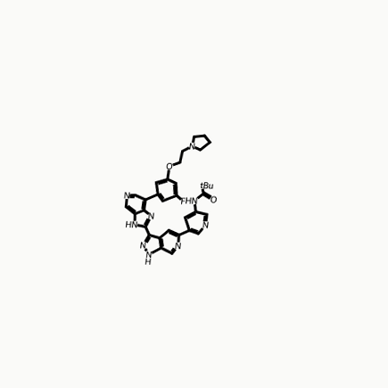 CC(C)(C)C(=O)Nc1cncc(-c2cc3c(-c4nc5c(-c6cc(F)cc(OCCN7CCCC7)c6)cncc5[nH]4)n[nH]c3cn2)c1